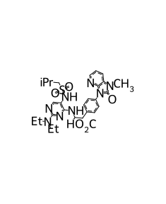 CCN(CC)c1ncc(NS(=O)(=O)CC(C)C)c(N[C@@H](Cc2ccc(-n3c(=O)n(C)c4cccnc43)cc2)C(=O)O)n1